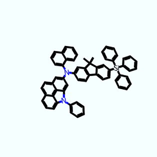 CC1(C)c2cc(N(c3cc4ccc5cccc6c5c4c(c3)n6-c3ccccc3)c3cccc4ccccc34)ccc2-c2ccc([Si](c3ccccc3)(c3ccccc3)c3ccccc3)cc21